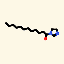 CCCCCCCCCCCC(=O)N1C=NCC1